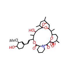 COC1C=C(/C=C/C2OC(=O)C3CCCCN3C(=O)C3(O)OC(CCC(C)C3=O)C(C)C3CC4OC(CC(O)C2C)(O3)C(C)CC4C)CCC1O